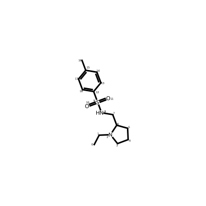 CCN1CCCC1CNS(=O)(=O)c1ccc(C)cc1